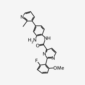 COc1cccc(F)c1-c1nccc(C(=O)Nc2ccc(-c3cccnc3C)cc2N)n1